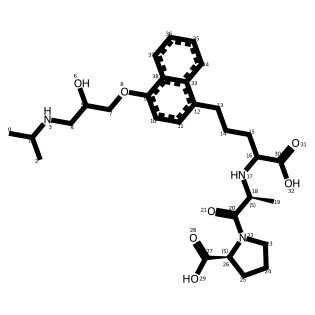 CC(C)NCC(O)COc1ccc(CCCC(N[C@@H](C)C(=O)N2CCC[C@H]2C(=O)O)C(=O)O)c2ccccc12